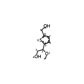 COC(CO)c1ccc(CO)s1